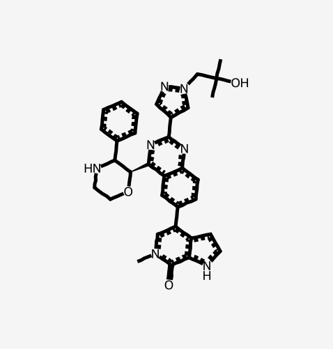 Cn1cc(-c2ccc3nc(-c4cnn(CC(C)(C)O)c4)nc([C@H]4OCCNC4c4ccccc4)c3c2)c2cc[nH]c2c1=O